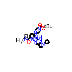 CN(C)C(=O)c1ccc(N2CCN(C(=O)OC(C)(C)C)CC2)c(Nc2ncc3ccn(C4CCCC4)c3n2)n1